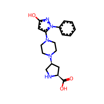 O=C(O)[C@@H]1C[C@H](N2CCN(c3cc(O)nn3-c3ccccc3)CC2)CN1